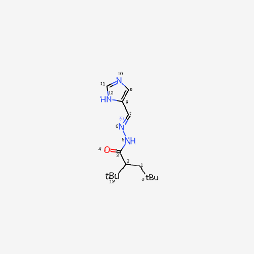 CC(C)(C)CC(C(=O)N/N=C/c1cnc[nH]1)C(C)(C)C